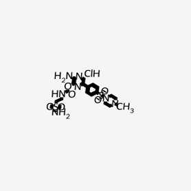 CN1CCN(S(=O)(=O)c2ccc(-c3cnc(N)c(OC(=O)NCCS(N)(=O)=O)n3)cc2)CC1.Cl